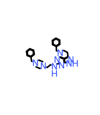 c1ccc(CN2CCN(CCNc3nc4c5c(n[nH]c5n3)CCN4Cc3ccccc3)CC2)cc1